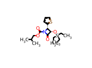 CC[Si](CC)(CC)O[C@@H]1C(=O)N(C(=O)OCC(C)C)[C@@H]1c1cccs1